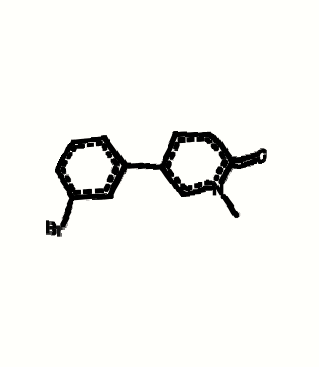 Cn1cc(-c2cccc(Br)c2)ccc1=O